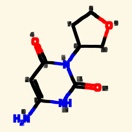 Nc1cc(=O)n(C2CCOC2)c(=O)[nH]1